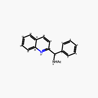 CC(=O)NC(c1ccccc1)c1ccc2ccccc2n1